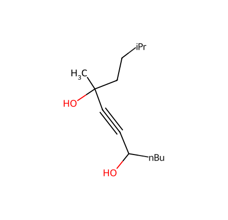 CCCCC(O)C#CC(C)(O)CCC(C)C